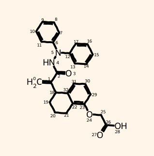 C=C(C(=O)NN(c1ccccc1)c1ccccc1)C1CCCc2c(OCC(=O)O)cccc21